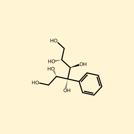 OC[C@@H](O)[C@@H](O)[C@@](O)(c1ccccc1)[C@@H](O)CO